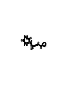 CC(=CC=O)n1cncn1